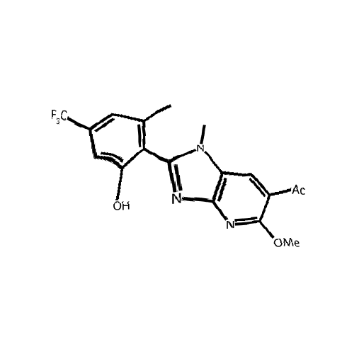 COc1nc2nc(-c3c(C)cc(C(F)(F)F)cc3O)n(C)c2cc1C(C)=O